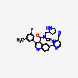 Cc1cc(F)cc(-c2cnc3ccc(-c4nccc(C#N)n4)cc3c2C(=O)N(C)C[C@@H]2CCCN2)c1